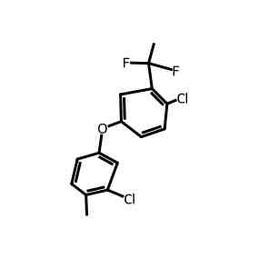 Cc1ccc(Oc2ccc(Cl)c(C(C)(F)F)c2)cc1Cl